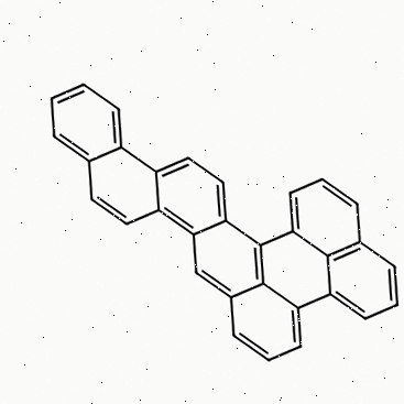 c1ccc2c(c1)ccc1c2ccc2c1cc1cccc3c4cccc5cccc(c54)c2c13